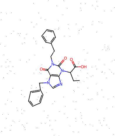 CCC(C(=O)O)n1c(=O)n(CCc2ccccc2)c(=O)c2c1ncn2Cc1ccccc1